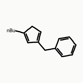 CCCCC1=CC(Cc2ccccc2)=CC1